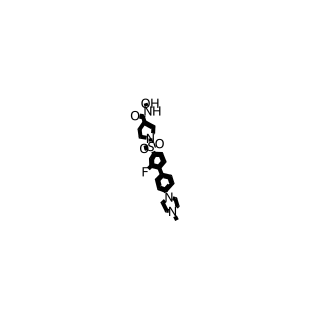 CN1CCN(c2ccc(-c3ccc(S(=O)(=O)N4CC=C(C(=O)NO)CC4)cc3F)cc2)CC1